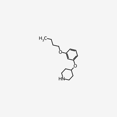 CCCCOc1cccc(OC2CCNCC2)c1